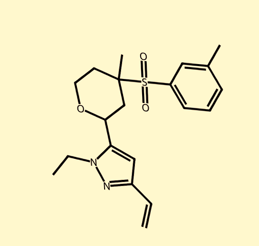 C=Cc1cc(C2CC(C)(S(=O)(=O)c3cccc(C)c3)CCO2)n(CC)n1